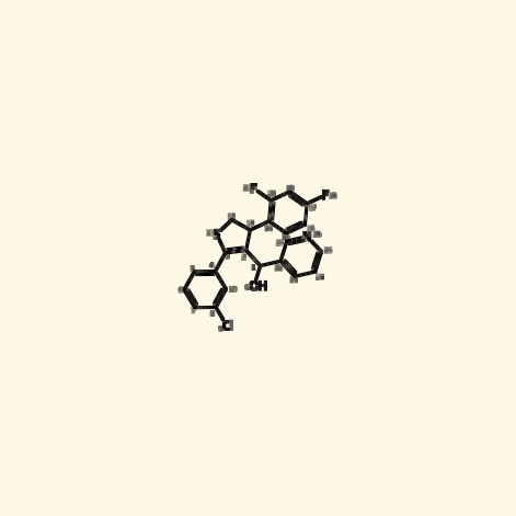 OC(C1=C(c2cccc(Cl)c2)SCC1c1ccc(F)cc1F)c1cccnc1